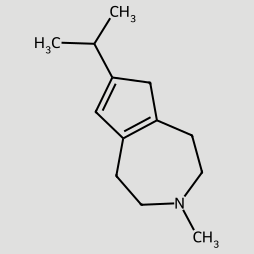 CC(C)C1=CC2=C(CCN(C)CC2)C1